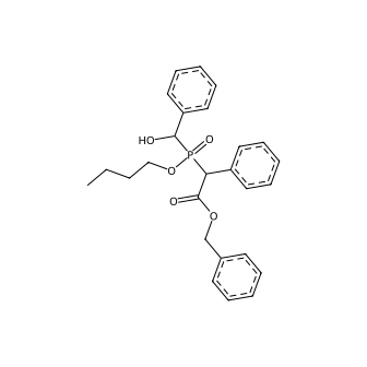 CCCCOP(=O)(C(O)c1ccccc1)C(C(=O)OCc1ccccc1)c1ccccc1